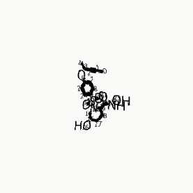 CC#CC(C)Oc1ccc(S(=O)(=O)N2CC(O)CCC2C(=O)NO)cc1